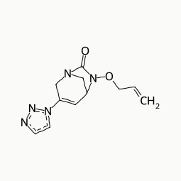 C=CCON1C(=O)N2CC(n3ccnn3)=CC1C2